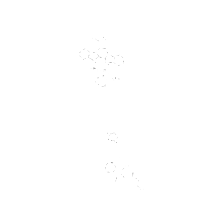 CO[C@@H]1[C@H](N(C)C(=O)CCCCCCCCc2cn(CCOc3cccc4c3C(=O)N(C3CCC(=O)NC3=O)C4=O)nn2)C[C@H]2O[C@]1(C)n1c3ccccc3c3c4c(c5c6ccccc6n2c5c31)C(=O)NC4